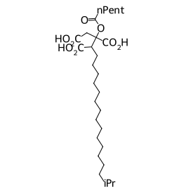 CCCCCC(=O)OC(CC(=O)O)(C(=O)O)C(CCCCCCCCCCCCCCC(C)C)C(=O)O